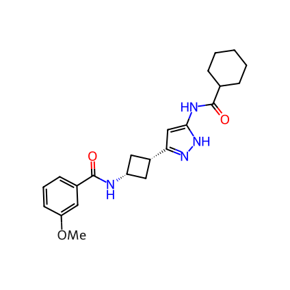 COc1cccc(C(=O)N[C@H]2C[C@@H](c3cc(NC(=O)C4CCCCC4)[nH]n3)C2)c1